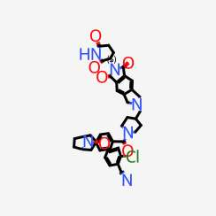 N#Cc1ccc(OC2CC3CCC(C2)N3c2ccc(C(=O)N3CCC(CN4Cc5cc6c(cc5C4)C(=O)N([C@H]4CCC(=O)NC4=O)C6=O)CC3)cc2)cc1Cl